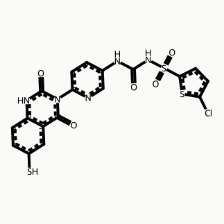 O=C(Nc1ccc(-n2c(=O)[nH]c3ccc(S)cc3c2=O)nc1)NS(=O)(=O)c1ccc(Cl)s1